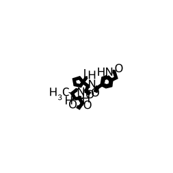 C[C@@H]1CN(C(=O)[C@@H](NC(=O)c2ccc3c(c2)NC(=O)C3)C2(CI)CCCC2)[C@@H]2C(=O)CO[C@H]12